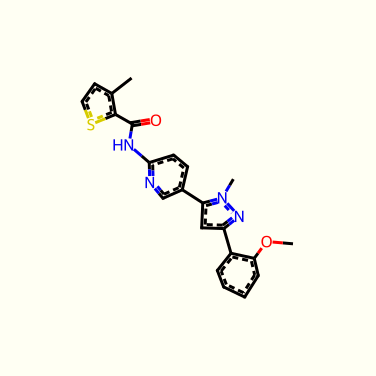 COc1ccccc1-c1cc(-c2ccc(NC(=O)c3sccc3C)nc2)n(C)n1